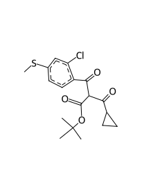 CSc1ccc(C(=O)C(C(=O)OC(C)(C)C)C(=O)C2CC2)c(Cl)c1